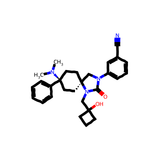 CN(C)[C@]1(c2ccccc2)CC[C@]2(CC1)CN(c1cccc(C#N)c1)C(=O)N2CC1(O)CCC1